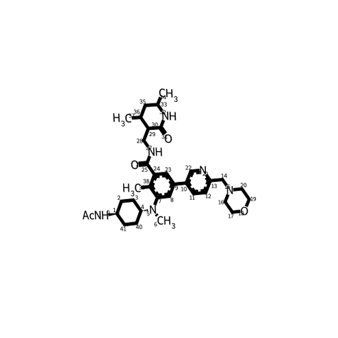 CC(=O)N[C@H]1CC[C@H](N(C)c2cc(-c3ccc(CN4CCOCC4)nc3)cc(C(=O)NCC3C(=O)NC(C)CC3C)c2C)CC1